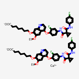 CCOc1cc2c(Oc3ccc(NC(=O)C4(C(=O)Nc5ccc(F)cc5)CC4)cc3F)ccnc2cc1OCCCCCCC(=O)[O-].CCOc1cc2c(Oc3ccc(NC(=O)C4(C(=O)Nc5ccc(F)cc5)CC4)cc3F)ccnc2cc1OCCCCCCC(=O)[O-].[Ca+2]